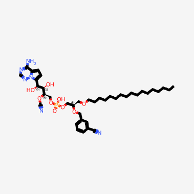 CCCCCCCCCCCCCCCCCOC[C@H](COP(=O)(O)OC[C@@H](OC#N)[C@@H](O)[C@@H](O)c1ccc2c(N)ncnn12)OCc1cccc(C#N)c1